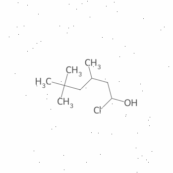 CC(CC(O)Cl)CC(C)(C)C